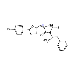 O=C(O)C(Cc1ccccc1)N1C(=O)/C(=C\C2=CCC(c3ccc(Br)cc3)O2)NC1=S